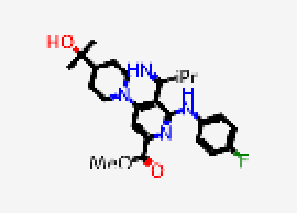 COC(=O)c1cc(N2CCC(C(C)(C)O)CC2)c(C(=N)C(C)C)c(Nc2ccc(F)cc2)n1